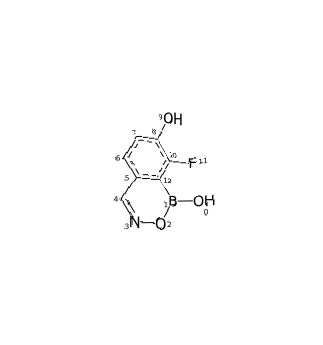 OB1ON=Cc2ccc(O)c(F)c21